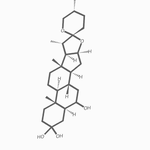 C[C@@H]1CC[C@@]2(OC1)O[C@H]1C[C@H]3[C@@H]4CC(O)[C@H]5CC(O)(O)CC[C@]5(C)[C@H]4CC[C@]3(C)[C@H]1[C@@H]2C